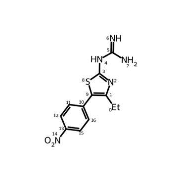 CCc1nc(NC(=N)N)sc1-c1ccc([N+](=O)[O-])cc1